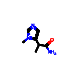 CC(C(N)=O)c1cncn1C